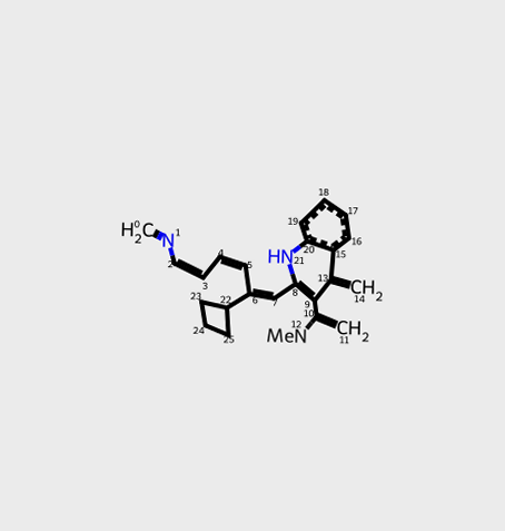 C=N\C=C/C=C\C(=C/C1=C(C(=C)NC)C(=C)c2ccccc2N1)C1CCC1